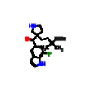 COC(C)(C)CCC1(C(=O)c2cc(F)c3[nH]ccc3c2)CCNC1